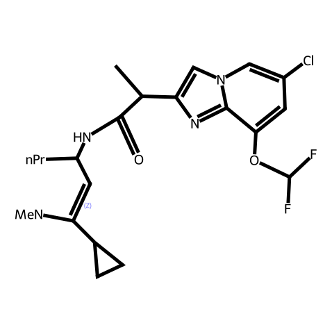 CCCC(/C=C(\NC)C1CC1)NC(=O)C(C)c1cn2cc(Cl)cc(OC(F)F)c2n1